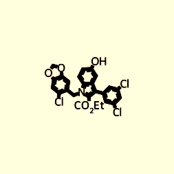 CCOC(=O)c1c(-c2cc(Cl)cc(Cl)c2)c2cc(O)ccc2n1Cc1cc2c(cc1Cl)OCO2